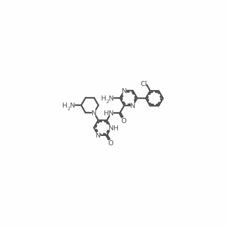 Nc1ncc(-c2ccccc2Cl)nc1C(=O)Nc1[nH]c(=O)ncc1N1CCCC(N)C1